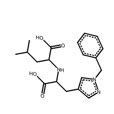 CC(C)CC(NC(Cc1cnn(Cc2ccccc2)c1)C(=O)O)C(=O)O